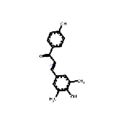 Cc1cc(/C=C/C(=O)c2ccc(O)cc2)cc(C)c1O